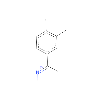 C/N=C(\C)c1ccc(C)c(C)c1